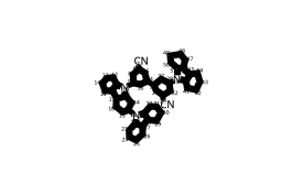 N#Cc1cc(-c2cc(C#N)cc(-n3c4ccccc4c4ccc(-n5c6ccccc6c6ccccc65)cc43)c2)cc(-n2c3ccccc3c3ccccc32)c1